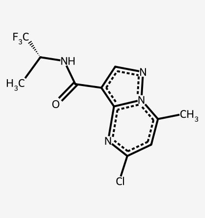 Cc1cc(Cl)nc2c(C(=O)N[C@H](C)C(F)(F)F)cnn12